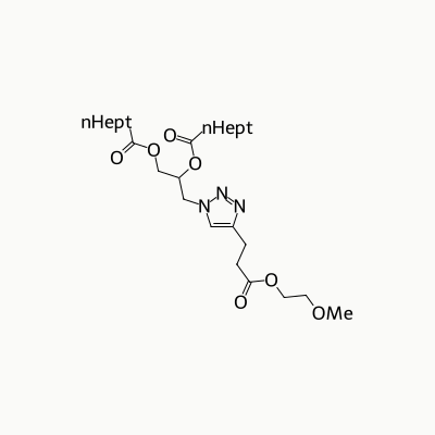 CCCCCCCC(=O)OCC(Cn1cc(CCC(=O)OCCOC)nn1)OC(=O)CCCCCCC